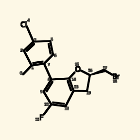 Cc1cc(Cl)ccc1-c1cc(F)cc2c1O[C@@H](CBr)C2